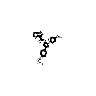 CON=C1CCC(c2cc(NC(=O)c3cnn4cccnc34)n(-c3ccc(C)cc3)n2)CC1